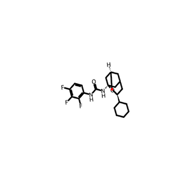 O=C(Nc1ccc(F)c(F)c1F)N[C@@]12CC3C[C@H](C1)C[C@](C1CCCCC1)(C3)O2